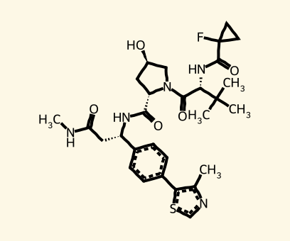 CNC(=O)C[C@H](NC(=O)[C@@H]1C[C@@H](O)CN1C(=O)[C@H](NC(=O)C1(F)CC1)C(C)(C)C)c1ccc(-c2scnc2C)cc1